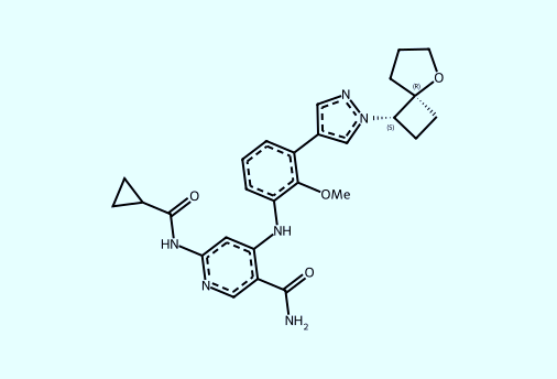 COc1c(Nc2cc(NC(=O)C3CC3)ncc2C(N)=O)cccc1-c1cnn([C@H]2CC[C@@]23CCCO3)c1